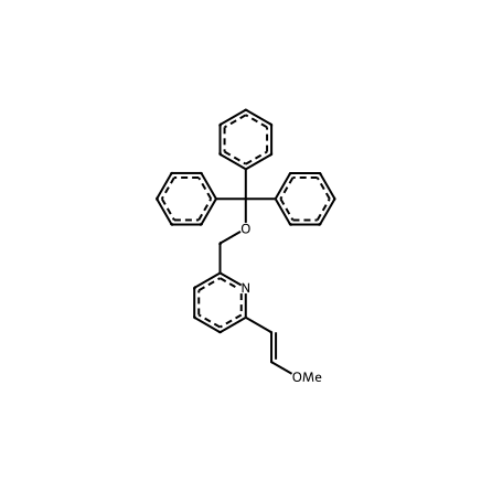 COC=Cc1cccc(COC(c2ccccc2)(c2ccccc2)c2ccccc2)n1